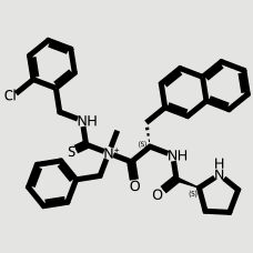 C[N+](Cc1ccccc1)(C(=O)[C@H](Cc1ccc2ccccc2c1)NC(=O)[C@@H]1CCCN1)C(=S)NCc1ccccc1Cl